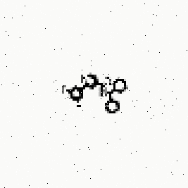 O=C(NC(C1CCCCC1)C1CCCCC1)c1ccnc(-c2cc(F)cc(F)c2)c1